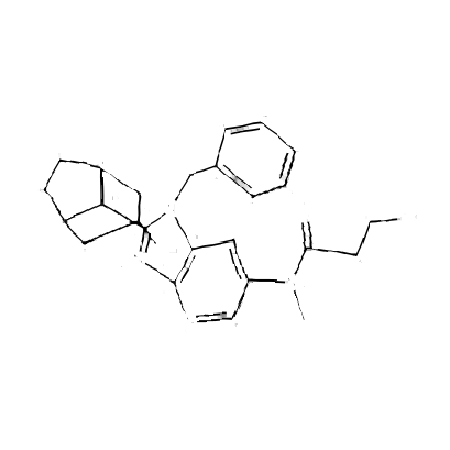 CN(C(=O)CCCl)c1cnc2nc(C3C4CCC3CC(O)C4)n(Cc3ccccc3)c2c1